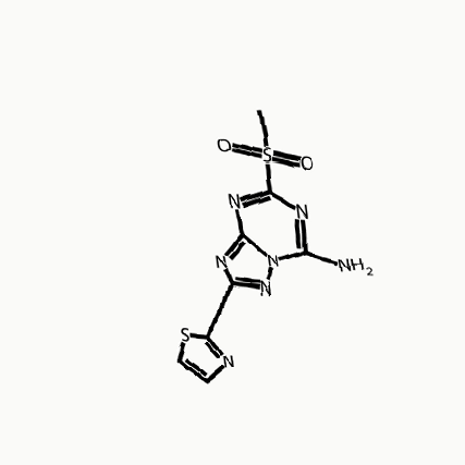 CS(=O)(=O)c1nc(N)n2nc(-c3nccs3)nc2n1